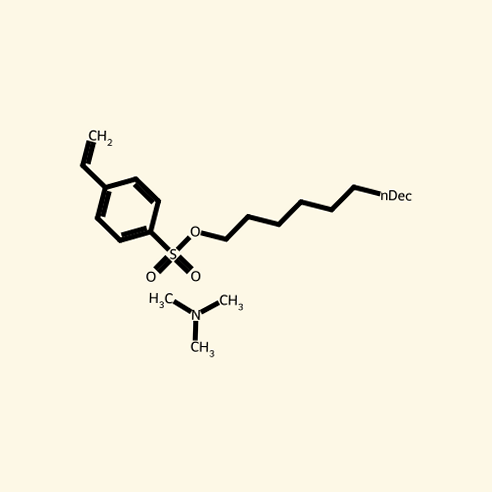 C=Cc1ccc(S(=O)(=O)OCCCCCCCCCCCCCCCC)cc1.CN(C)C